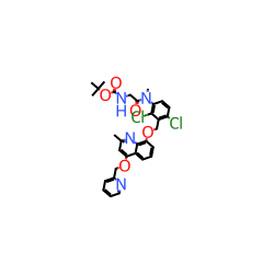 Cc1cc(OCc2ccccn2)c2cccc(OCc3c(Cl)ccc(N(C)C(=O)CNC(=O)OC(C)(C)C)c3Cl)c2n1